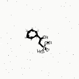 CCOP(=O)(O)CC(O)c1ccccc1